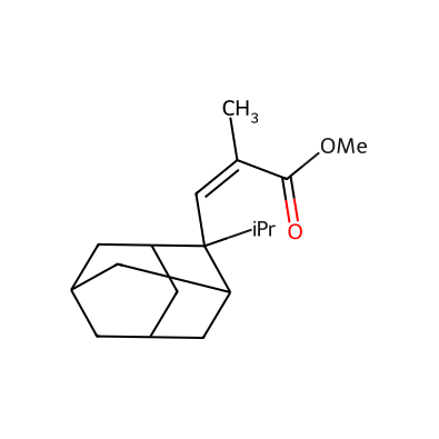 COC(=O)C(C)=CC1(C(C)C)C2CC3CC(C2)CC1C3